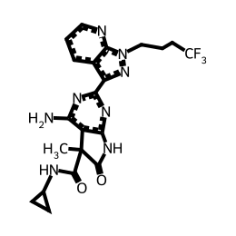 CC1(C(=O)NC2CC2)C(=O)Nc2nc(-c3nn(CCCC(F)(F)F)c4ncccc34)nc(N)c21